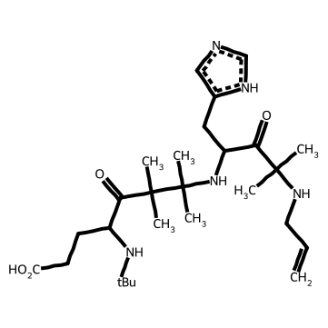 C=CCNC(C)(C)C(=O)C(Cc1cnc[nH]1)NC(C)(C)C(C)(C)C(=O)C(CCC(=O)O)NC(C)(C)C